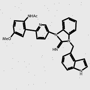 COc1ccc(NC(C)=O)c(-c2ccc(-n3c(=N)n(Cc4cccc5[nH]ccc45)c4ccccc43)cn2)c1